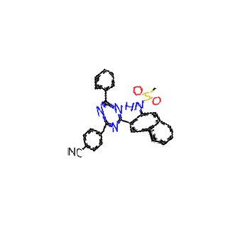 CS(=O)(=O)Nc1cc2ccccc2cc1-c1nc(-c2ccccc2)nc(-c2ccc(C#N)cc2)n1